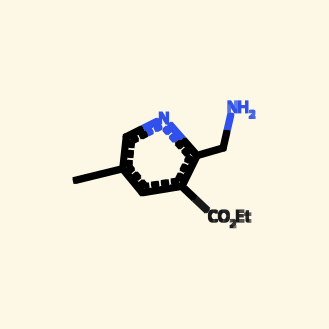 CCOC(=O)c1cc(C)cnc1CN